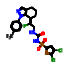 O=C(NCC(F)=C1CCCc2cnn(-c3ccc(C(F)(F)F)cc3)c21)NS(=O)(=O)c1cc(Cl)c(Cl)s1